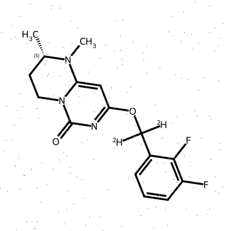 [2H]C([2H])(Oc1cc2n(c(=O)n1)CC[C@H](C)N2C)c1cccc(F)c1F